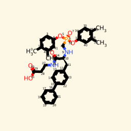 Cc1ccc(OP(=O)(CN[C@@H](Cc2ccc(-c3ccccc3)cc2)C(=O)NCCC(=O)O)Oc2ccc(C)c(C)c2)cc1C